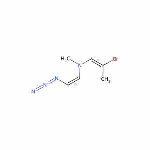 C/C(Br)=C\N(C)/C=C\N=[N+]=[N-]